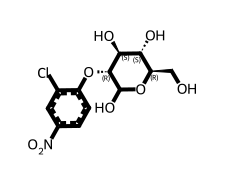 O=[N+]([O-])c1ccc(O[C@H]2C(O)O[C@H](CO)[C@@H](O)[C@@H]2O)c(Cl)c1